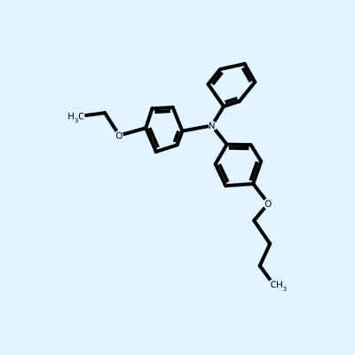 CCCCOc1ccc(N(c2ccccc2)c2ccc(OCC)cc2)cc1